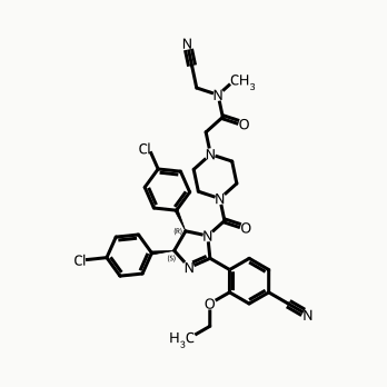 CCOc1cc(C#N)ccc1C1=N[C@@H](c2ccc(Cl)cc2)[C@@H](c2ccc(Cl)cc2)N1C(=O)N1CCN(CC(=O)N(C)CC#N)CC1